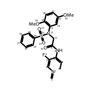 C=N/C=C(F)\C(=C/C)NC(=O)CN(c1cc(OC)ccc1OC)S(=O)(=O)c1ccccc1